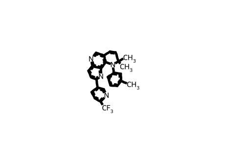 Cc1cccc(N2c3c(cnc4ccc(-c5ccc(C(F)(F)F)nc5)nc34)C=CC2(C)C)c1